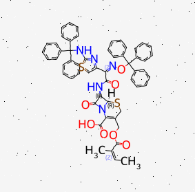 C/C=C(/C)C(=O)OCC1=C(C(=O)O)N2C(=O)[C@@H](NC(=O)/C(=N\OC(c3ccccc3)(c3ccccc3)c3ccccc3)c3csc(NC(c4ccccc4)(c4ccccc4)c4ccccc4)n3)[C@H]2SC1